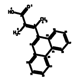 C/C(C(=O)O)=C(/C)c1cc2ccccc2c2ccccc12